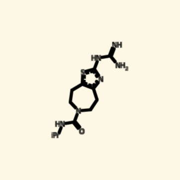 CC(C)NC(=O)N1CCc2nc(NC(=N)N)sc2CC1